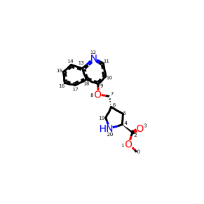 COC(=O)[C@@H]1C[C@@H](COc2ccnc3ccccc23)CN1